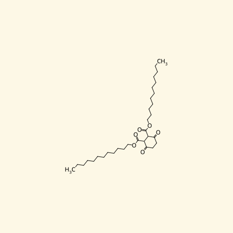 CCCCCCCCCCCCOC(=O)C1C(=O)CCC(=O)C1C(=O)OCCCCCCCCCCCC